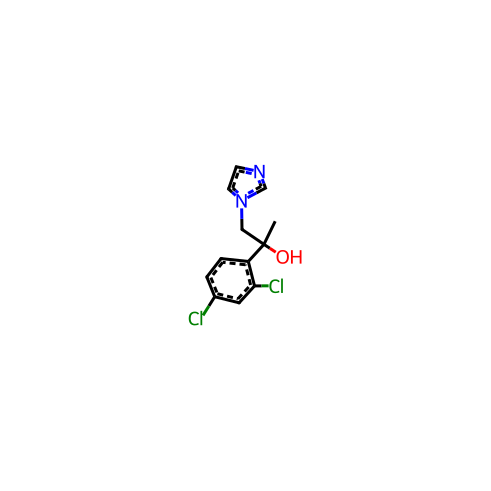 CC(O)(Cn1ccnc1)c1ccc(Cl)cc1Cl